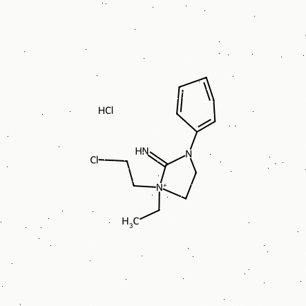 CC[N+]1(CCCl)CCN(c2ccccc2)C1=N.Cl